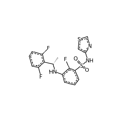 C[C@H](Nc1cccc(S(=O)(=O)Nc2cscn2)c1F)c1c(F)cccc1F